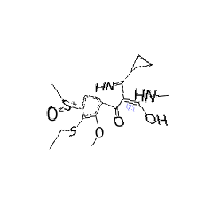 CCSc1c([S+](C)[O-])ccc(C(=O)/C(C(=N)C2CC2)=C(\O)NC)c1OC